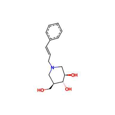 OC[C@H]1CN(C/C=C/c2ccccc2)C[C@@H](O)[C@@H]1O